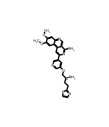 COc1cc2ncc3c(N)nc(-c4cncc(OC[C@@H](N)CCc5nccs5)c4)cc3c2cc1OC